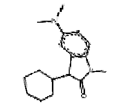 CN(C)c1ccc2c(n1)C(C1CCCCC1)C(=O)N2C